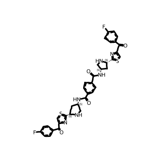 O=C(N[C@@H]1CN[C@H](c2nc(C(=O)c3ccc(F)cc3)cs2)C1)c1ccc(C(=O)N[C@@H]2CN[C@H](c3nc(C(=O)c4ccc(F)cc4)cs3)C2)cc1